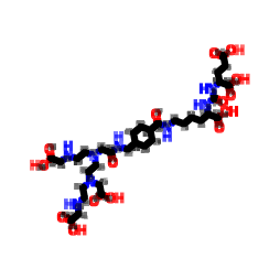 O=C(O)CCC(NC(=O)NC(CCCCNC(=O)C1CCC(CNC(=O)CN(CCNCC(=O)O)CCN(CCNCC(=O)O)CC(=O)O)CC1)C(=O)O)C(=O)O